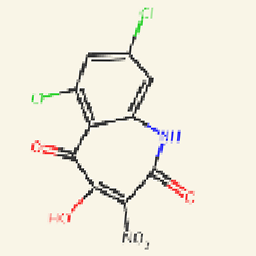 O=c1[nH]c2cc(Cl)cc(Cl)c2c(=O)c(O)c1[N+](=O)[O-]